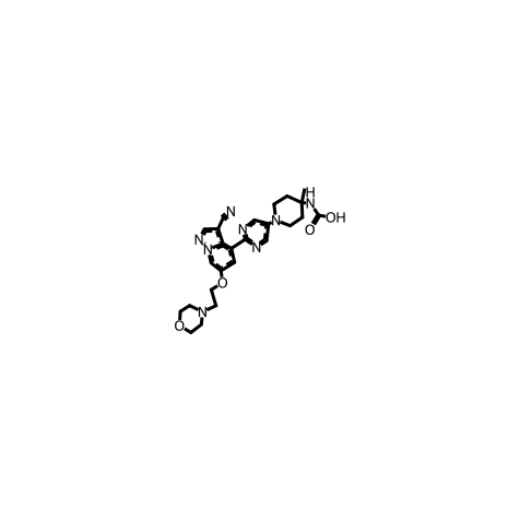 CC1(NC(=O)O)CCN(c2cnc(-c3cc(OCCN4CCOCC4)cn4ncc(C#N)c34)nc2)CC1